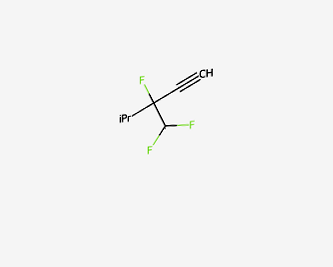 C#CC(F)([C](F)F)C(C)C